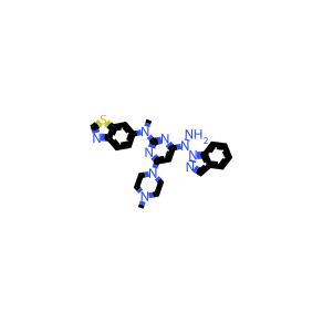 CN1CCN(c2cc(N(N)n3ncc4ccccc43)nc(N(C)c3ccc4ncsc4c3)n2)CC1